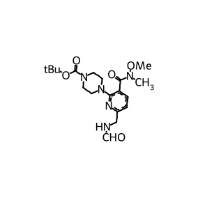 CON(C)C(=O)c1ccc(CNC=O)nc1N1CCN(C(=O)OC(C)(C)C)CC1